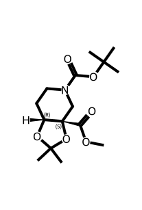 COC(=O)[C@]12CN(C(=O)OC(C)(C)C)CC[C@H]1OC(C)(C)O2